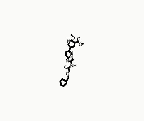 COC(=O)c1cc(-c2ccc3nc(NC(=O)COCc4ccccc4)cn3n2)cnc1OC